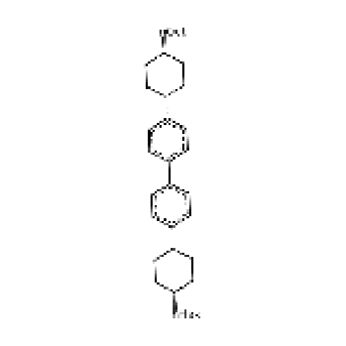 CCCCCCCC[C@H]1CC[C@H](c2ccc(-c3ccc([C@H]4CC[C@H](CCCCCC)CC4)cc3)cc2)CC1